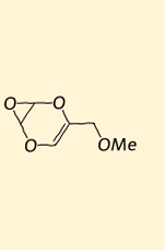 COCC1=COC2OC2O1